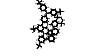 CC(C)(C)c1ccc(N(c2ccc(C(C)(C)C)cc2)c2ccc3c(c2)N(c2ccc4c(c2)C(C)(C)CCC4(C)C)B2c4c-3cc(C(C)(C)C)cc4N(c3ccc(C(C)(C)C)cc3-c3ccccc3)c3sc4ccccc4c32)cc1